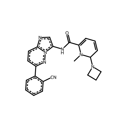 CN1C(C(=O)Nc2cnc3ccc(-c4ccccc4C#N)nn23)=CC=CC1N1CCC1